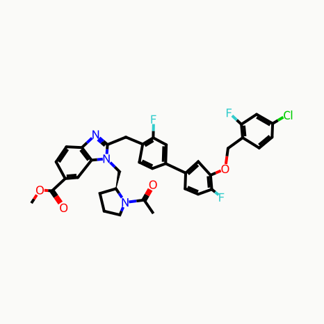 COC(=O)c1ccc2nc(Cc3ccc(-c4ccc(F)c(OCc5ccc(Cl)cc5F)c4)cc3F)n(C[C@@H]3CCCN3C(C)=O)c2c1